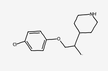 [CH2]C(COc1ccc(Cl)cc1)C1CCNCC1